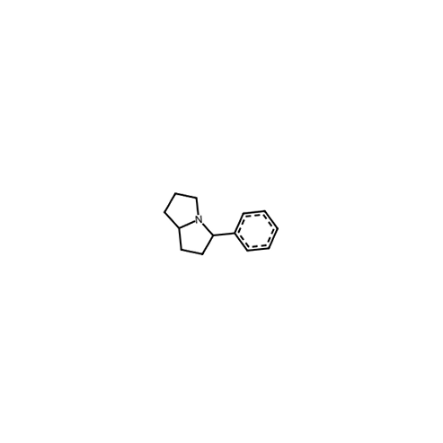 c1ccc(C2CCC3CCCN32)cc1